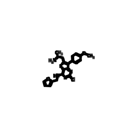 COc1ccc(-c2c(C[C@H](C)N)sc3c(NCc4ccco4)nc(Cl)nc23)cc1